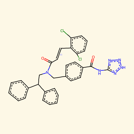 O=C(Nc1nn[nH]n1)c1ccc(CN(CC(c2ccccc2)c2ccccc2)C(=O)/C=C/c2c(Cl)cccc2Cl)cc1